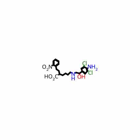 Nc1c(Cl)cc(C(O)CNCCCCC(CCc2ccccc2[N+](=O)[O-])C(=O)O)cc1Cl